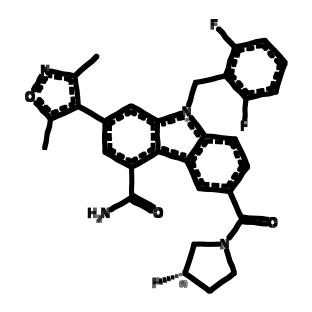 Cc1noc(C)c1-c1cc(C(N)=O)c2c3cc(C(=O)N4CC[C@H](F)C4)ccc3n(Cc3c(F)cccc3F)c2c1